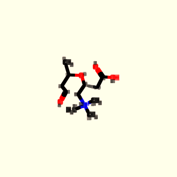 CC(CC=O)O[C@H](CC(=O)O)C[N+](C)(C)C